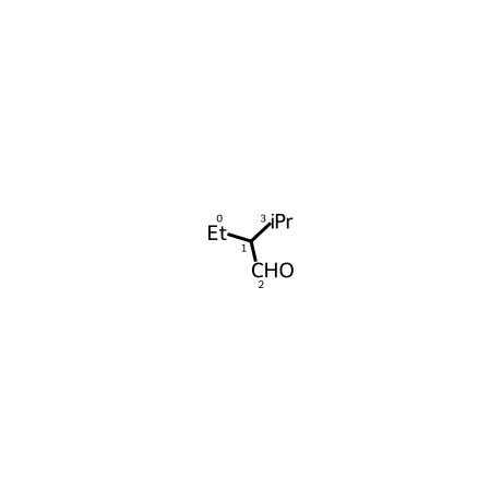 CCC(C=O)C(C)C